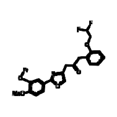 CCOc1cc(-c2nc(CC(=O)Cc3ccccc3OCC(F)F)co2)ccc1OC